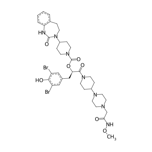 CONC(=O)CN1CCN(C2CCN(C(=O)[C@@H](Cc3cc(Br)c(O)c(Br)c3)OC(=O)N3CCC(N4CCc5ccccc5NC4=O)CC3)CC2)CC1